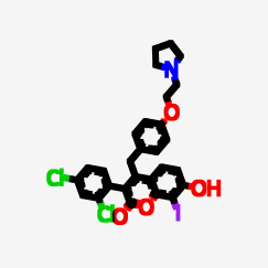 O=c1oc2c(I)c(O)ccc2c(Cc2ccc(OCCN3CCCC3)cc2)c1-c1ccc(Cl)cc1Cl